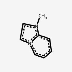 Cn1cc[n+]2ccccc12